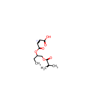 C=C(C)C(=O)OCC(CC)OC(=O)/C=C\C(=O)O